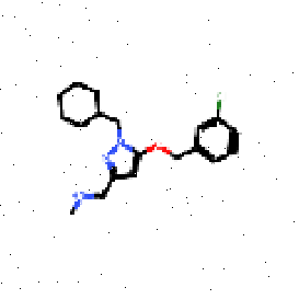 CNCc1cc(OCc2cc#cc(Cl)c2)n(CC2CCCCC2)n1